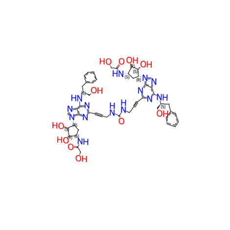 O=C(CO)N[C@H]1C[C@@H](n2cnc3c(N[C@H](CO)Cc4ccccc4)nc(C#CCNC(=O)NCC#Cc4nc(N[C@H](CO)Cc5ccccc5)c5ncn([C@@H]6C[C@H](NC(=O)CO)[C@@H](O)[C@H]6O)c5n4)nc32)[C@H](O)[C@@H]1O